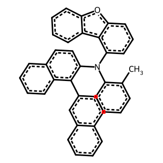 Cc1ccccc1N(c1ccc2ccccc2c1-c1ccc2ccccc2c1)c1cccc2oc3ccccc3c12